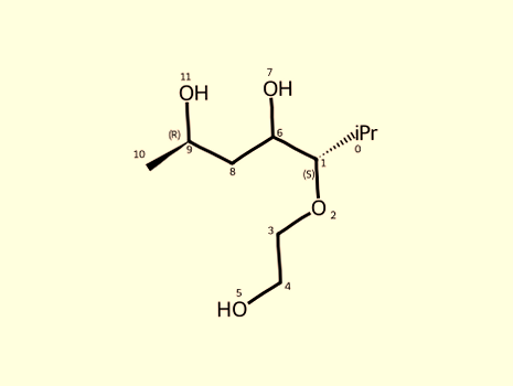 CC(C)[C@H](OCCO)C(O)C[C@@H](C)O